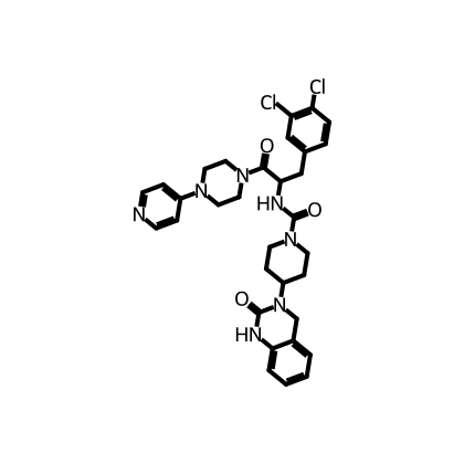 O=C(NC(Cc1ccc(Cl)c(Cl)c1)C(=O)N1CCN(c2ccncc2)CC1)N1CCC(N2Cc3ccccc3NC2=O)CC1